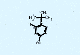 CC(C)(C)c1ccc(Br)cc1I